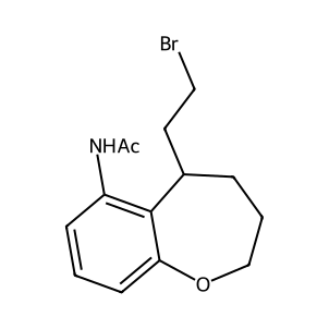 CC(=O)Nc1cccc2c1C(CCBr)CCCO2